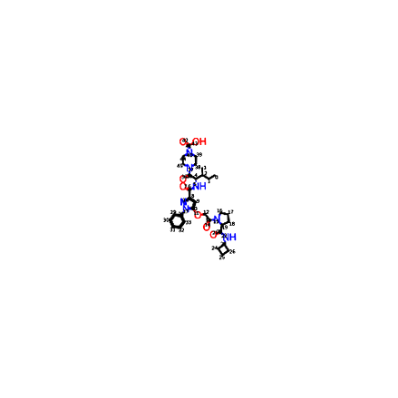 CC[C@H](C)[C@H](NC(=O)c1cc(OCC(=O)N2CCCC2C(=O)NC2CCC2)n(-c2ccccc2)n1)C(=O)N1CCN(C(=O)O)CC1